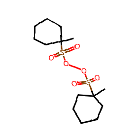 CC1(S(=O)(=O)OOS(=O)(=O)C2(C)CCCCC2)CCCCC1